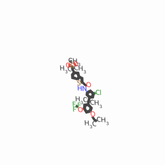 CC(C)COc1cc(OC(F)(F)F)cc(C(C)(C)c2cc(Cl)cc(NC(=O)c3cc4cc(C(C)(C)S(C)(=O)=O)ccc4s3)c2)c1